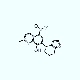 Cc1ccc2c([N+](=O)[O-])cc(C3NCCc4sccc43)c(O)c2n1